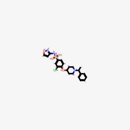 CC(c1ccccc1)N1CCC(Oc2ccc(S(=O)(=O)Nc3ccon3)cc2Cl)CC1